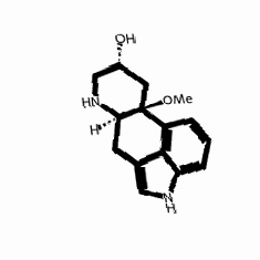 CO[C@]12C[C@@H](O)CN[C@@H]1Cc1c[nH]c3cccc2c13